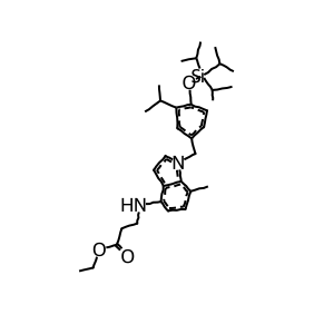 CCOC(=O)CCNc1ccc(C)c2c1ccn2Cc1ccc(O[Si](C(C)C)(C(C)C)C(C)C)c(C(C)C)c1